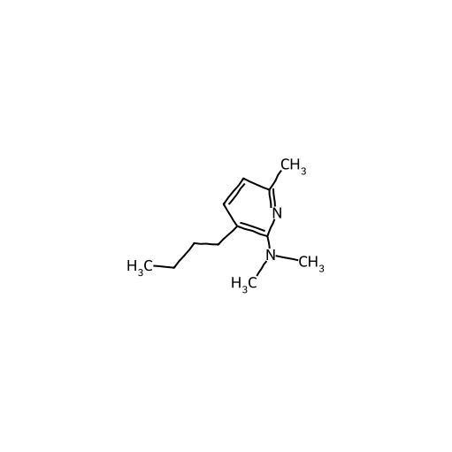 CCCCc1ccc(C)nc1N(C)C